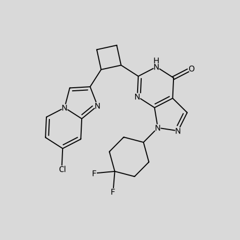 O=c1[nH]c(C2CCC2c2cn3ccc(Cl)cc3n2)nc2c1cnn2C1CCC(F)(F)CC1